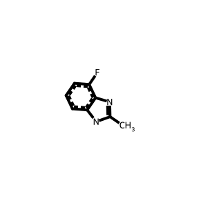 CC1=Nc2c(F)cccc2[N]1